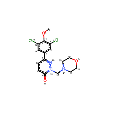 COc1c(Cl)cc(-c2ccc(=O)n(CN3CCOCC3)n2)cc1Cl